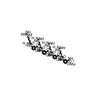 COc1ccc(NC(=O)[C@H](CCCNC(=N)N)NC(=O)c2cc(NC(=O)[C@H](CCCNC(=N)N)NC(=O)c3cc(NC(=O)[C@H](CCCNC(=N)N)NC(=O)c4cc(NC(=O)[C@@H](N)CCCCNC(=N)N)ccc4OC)ccc3OC)ccc2OC)cc1C(N)=O